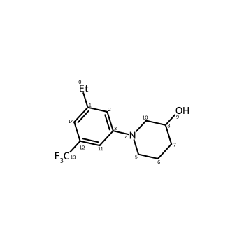 CCc1cc(N2CCCC(O)C2)cc(C(F)(F)F)c1